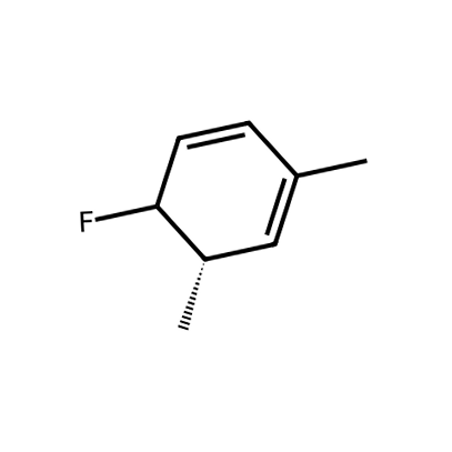 CC1=C[C@H](C)C(F)C=C1